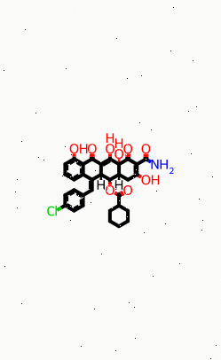 NC(=O)C1=C(O)C[C@@H]2C(OC(=O)C3CCCCC3)[C@H]3C(=C(O)[C@]2(O)C1=O)C(=O)c1c(O)cccc1/C3=C\c1ccc(Cl)cc1